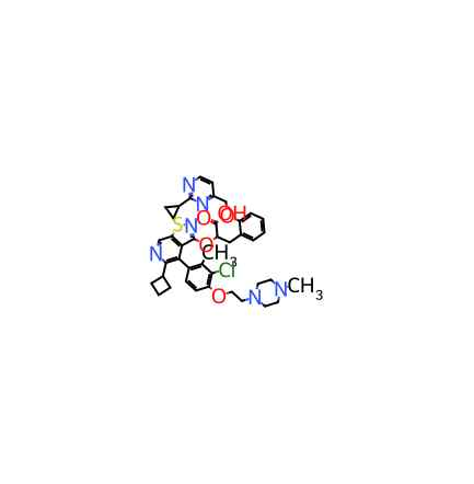 Cc1c(-c2c(C3CCC3)ncc3snc(OC(Cc4ccccc4OCc4ccnc(C5CC5)n4)C(=O)O)c23)ccc(OCCN2CCN(C)CC2)c1Cl